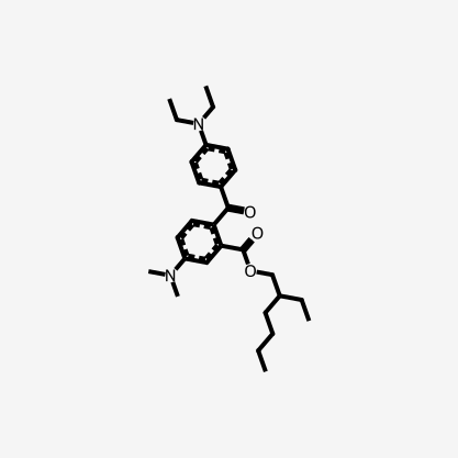 CCCCC(CC)COC(=O)c1cc(N(C)C)ccc1C(=O)c1ccc(N(CC)CC)cc1